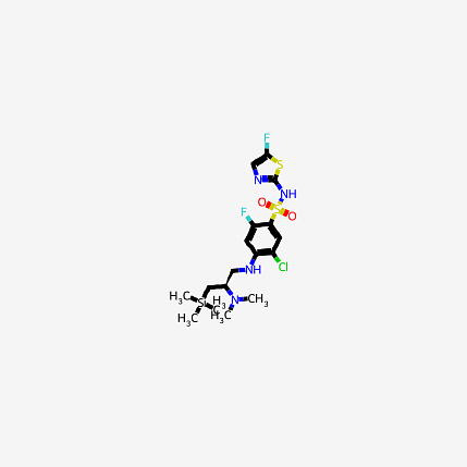 CN(C)[C@H](CNc1cc(F)c(S(=O)(=O)Nc2ncc(F)s2)cc1Cl)C[Si](C)(C)C